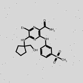 CCc1nc(C(N)=O)c(Nc2cccc(S(C)(=O)=O)c2)nc1NC1(CO)CCCC1